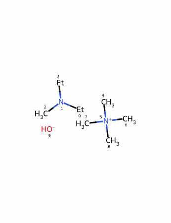 CCN(C)CC.C[N+](C)(C)C.[OH-]